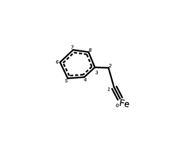 [Fe]#[C]Cc1ccccc1